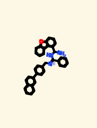 NC(N/C(=N\Cc1ccc(-c2ccc3ccccc3c2)cc1)c1ccccc1)c1cccc2oc3ccccc3c12